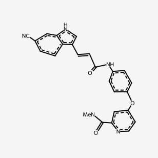 CNC(=O)c1cc(Oc2ccc(NC(=O)C=Cc3c[nH]c4cc(C#N)ccc34)cc2)ccn1